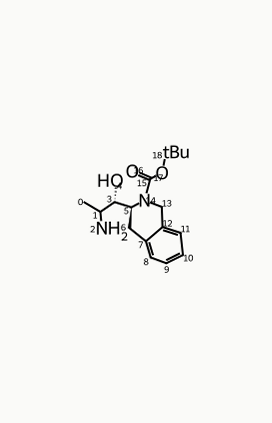 CC(N)[C@H](O)[C@@H]1Cc2ccccc2CN1C(=O)OC(C)(C)C